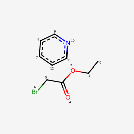 CCOC(=O)CBr.c1ccncc1